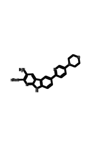 CCCCCc1nc2[nH]c3ccc(-c4ccc(N5CCOCC5)cn4)cc3c2cc1N